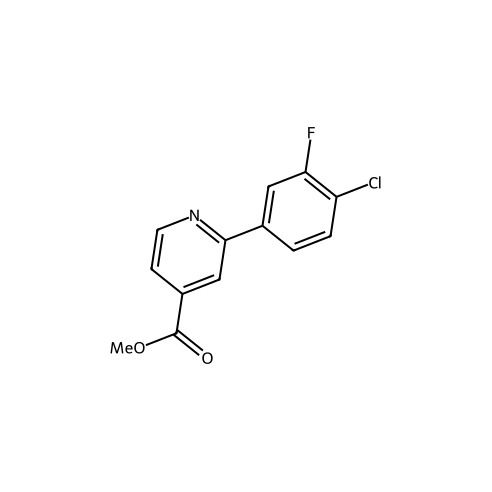 COC(=O)c1ccnc(-c2ccc(Cl)c(F)c2)c1